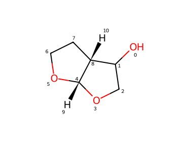 OC1CO[C@@H]2OCC[C@H]12